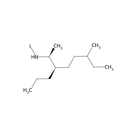 CCC[C@H](CCC(C)CC)[C@H](C)NI